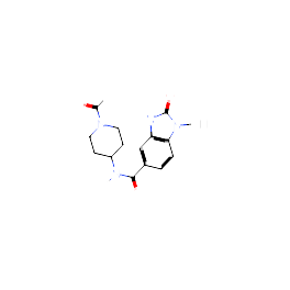 CC(=O)N1CCC(N(C)C(=O)c2ccc3c(c2)[nH]c(=O)n3C)CC1